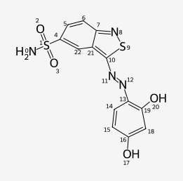 NS(=O)(=O)c1ccc2nsc(/N=N/c3ccc(O)cc3O)c2c1